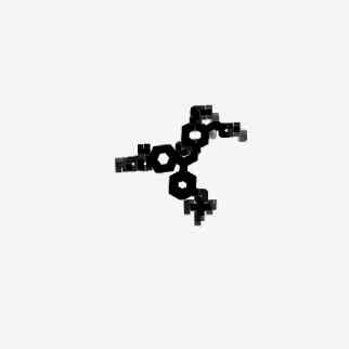 CC[C@H]1CN(CC(c2cccc(OC(F)(F)F)c2)C2(O)CCCCC2)CCN1C.Cl.Cl